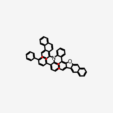 c1ccc(-c2ccc(-c3ccccc3N(c3ccccc3-c3cccc4c3oc3cc5ccccc5cc34)c3cccc4c3ccc3ccccc34)cc2)cc1